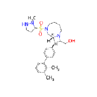 Cc1cccc(-c2ccc([C@@H]3C(CO)N4CCCCN(S(=O)(=O)C5CCNN5C)C[C@@H]34)cc2)c1C